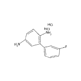 Cl.Cl.Nc1ccc(N)c(-c2cccc(F)c2)c1